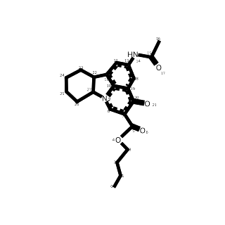 CCCCOC(=O)c1cn2c3c(cc(NC(C)=O)cc3c1=O)C1CCCCC12